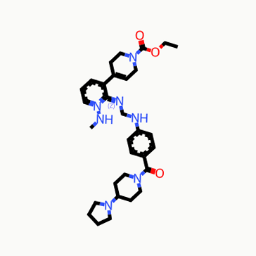 CCOC(=O)N1CC=C(c2cccn(NC)/c2=N\CNc2ccc(C(=O)N3CCC(N4CCCC4)CC3)cc2)CC1